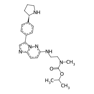 CC(C)OC(=O)N(C)CCNc1ccc2ncc(-c3ccc([C@H]4CCCN4)cc3)n2n1